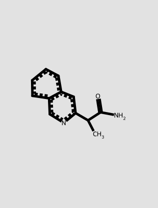 CC(C(N)=O)c1cc2ccccc2cn1